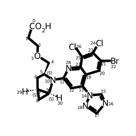 O=C(O)CCOC[C@@H]1C[C@@H]2C[C@@H]2N1c1cc(-n2cncn2)c2cc(Br)c(Cl)c(Cl)c2n1